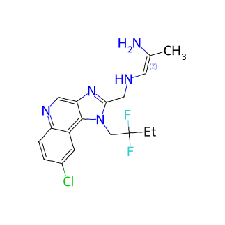 CCC(F)(F)Cn1c(CN/C=C(/C)N)nc2cnc3ccc(Cl)cc3c21